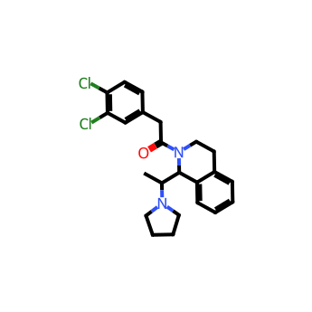 CC(C1c2ccccc2CCN1C(=O)Cc1ccc(Cl)c(Cl)c1)N1CCCC1